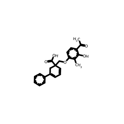 CC(=O)c1ccc(OCC2(C(=O)O)C=CC=C(c3ccccc3)C2)c(C)c1O